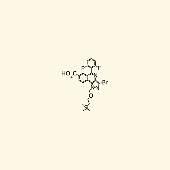 C[Si](C)(C)CCOCn1nc(Br)c2nc(-c3c(F)cccc3F)c3cc(C(=O)O)ccc3c21